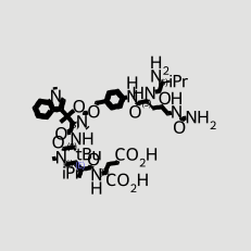 C/C(=C\[C@H](C(C)C)N(C)C(=O)[C@@H](NC(=O)[C@@H](N(C)C(=O)OCc1ccc(NC(=O)[C@H](CCCNC(N)=O)NC(=O)[C@@H](N)C(C)C)cc1)C(C)(C)c1cn(C)c2ccccc12)C(C)(C)C)C(=O)N[C@H](CCC(=O)O)C(=O)O